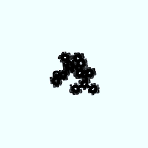 c1ccc(-c2cc(-c3ccccc3)cc(-n3c4ccccc4c4c5c6ccc7ccccc7c6n(-c6nc(-c7ccccc7)nc(-c7ccc8c(c7)oc7ccccc78)n6)c5ccc43)c2)cc1